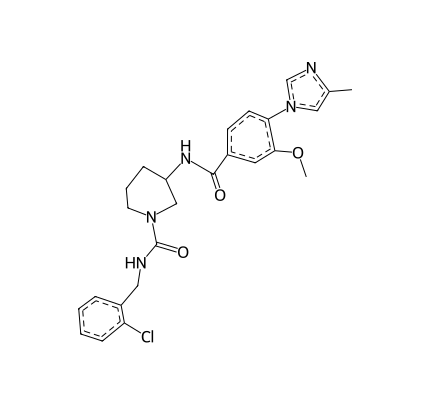 COc1cc(C(=O)NC2CCCN(C(=O)NCc3ccccc3Cl)C2)ccc1-n1cnc(C)c1